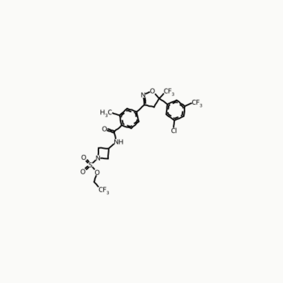 Cc1cc(C2=NOC(c3cc(Cl)cc(C(F)(F)F)c3)(C(F)(F)F)C2)ccc1C(=O)NC1CN(S(=O)(=O)OCC(F)(F)F)C1